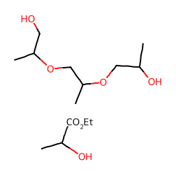 CC(O)COC(C)COC(C)CO.CCOC(=O)C(C)O